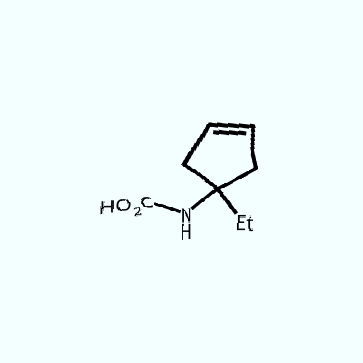 CCC1(NC(=O)O)CC=CC1